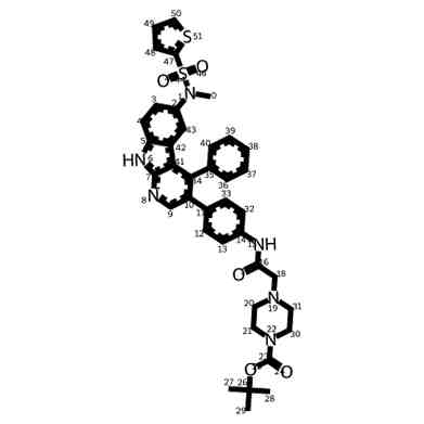 CN(c1ccc2[nH]c3ncc(-c4ccc(NC(=O)CN5CCN(C(=O)OC(C)(C)C)CC5)cc4)c(-c4ccccc4)c3c2c1)S(=O)(=O)c1cccs1